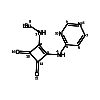 CC(C)(C)Nc1c(Nc2ccncn2)c(=O)c1=O